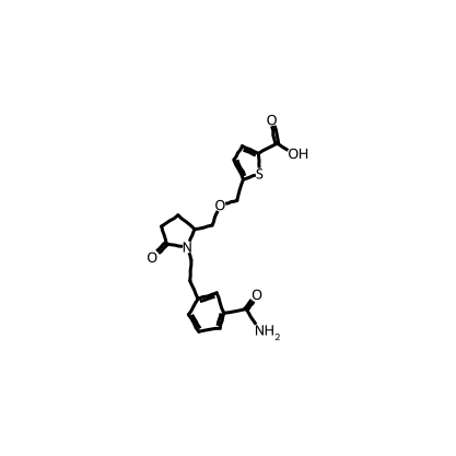 NC(=O)c1cccc(CCN2C(=O)CCC2COCc2ccc(C(=O)O)s2)c1